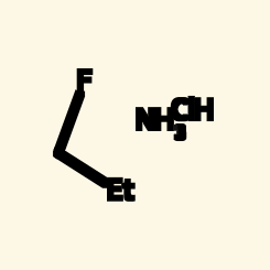 CCCF.Cl.N